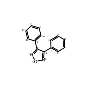 [c]1ccc(-c2nonc2-c2ccccc2)cc1